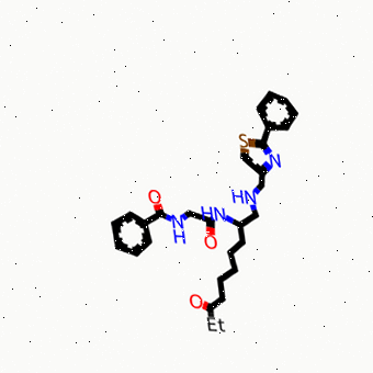 CCC(=O)CCCCCC(CNCc1csc(-c2ccccc2)n1)NC(=O)CNC(=O)c1ccccc1